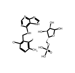 Cc1ccc(Cl)c(CNc2ncnc3nc[nH]c23)c1F.O=P(O)(O)OC[C@H]1OC(O)[C@H](O)[C@@H]1O